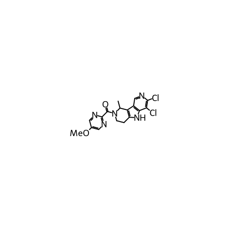 COc1cnc(C(=O)N2CCc3[nH]c4c(Cl)c(Cl)ncc4c3C2C)nc1